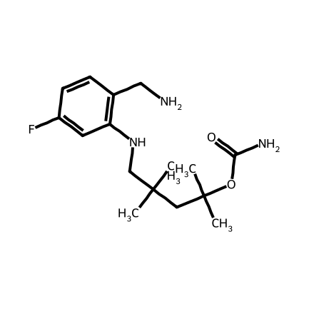 CC(C)(CNc1cc(F)ccc1CN)CC(C)(C)OC(N)=O